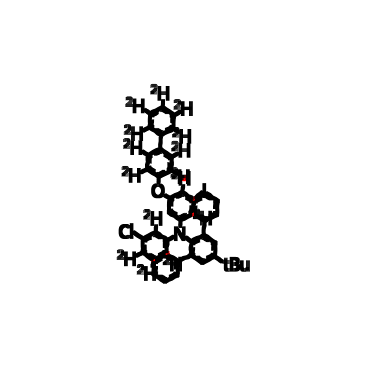 [2H]c1c([2H])c([2H])c(-c2c([2H])c([2H])c(Oc3cc(N(c4c(-c5ccccc5)cc(C(C)(C)C)cc4-c4ccccc4)c4c([2H])c([2H])c([2H])c(Cl)c4[2H])c([2H])c(I)c3[2H])c([2H])c2[2H])c([2H])c1[2H]